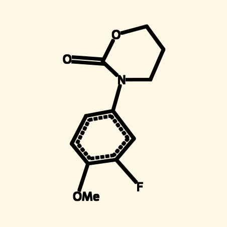 COc1ccc(N2CCCOC2=O)cc1F